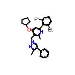 CCc1cccc(CC)c1-c1cc(OC2CCCC2)c(Cn2cc(-c3ccccc3)c(C)n2)c(C)n1